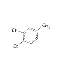 [CH2]c1ccc(CC)c(CC)c1